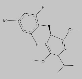 COC1=N[C@@H](Cc2c(F)cc(Br)cc2F)C(OC)=NC1C(C)C